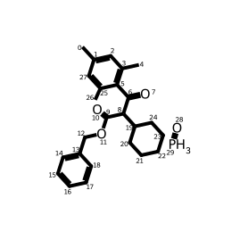 Cc1cc(C)c(C(=O)C(C(=O)OCc2ccccc2)C2CCCCC2)c(C)c1.O=[PH3]